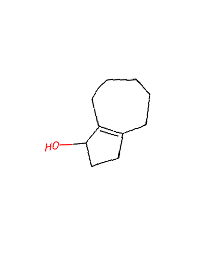 OC1CCC2=C1CCCCC2